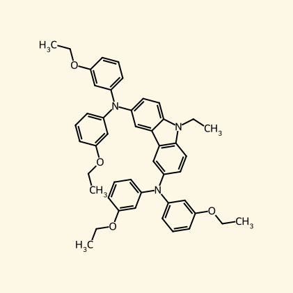 CCOc1cccc(N(c2cccc(OCC)c2)c2ccc3c(c2)c2cc(N(c4cccc(OCC)c4)c4cccc(OCC)c4)ccc2n3CC)c1